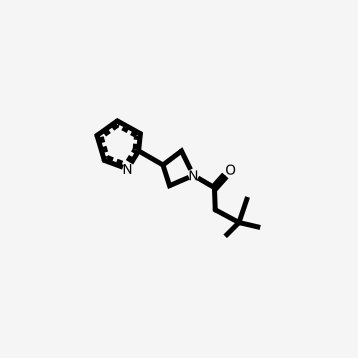 CC(C)(C)CC(=O)N1CC(c2ccccn2)C1